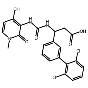 Cn1ccc(O)c(NC(=O)NC(CC(=O)O)c2cccc(-c3c(Cl)cccc3Cl)c2)c1=O